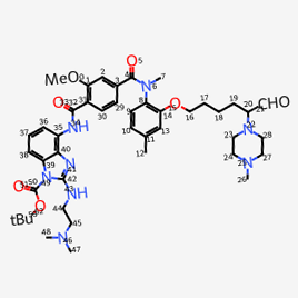 COc1cc(C(=O)N(C)c2ccc(C)cc2OCCCCC(C=O)N2CCN(C)CC2)ccc1C(=O)Nc1cccc2c1nc(NCCN(C)C)n2C(=O)OC(C)(C)C